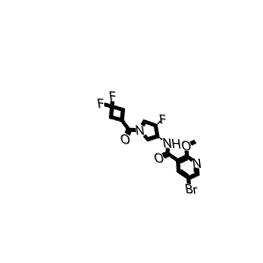 COc1ncc(Br)cc1C(=O)N[C@@H]1CN(C(=O)C2CC(F)(F)C2)C[C@@H]1F